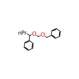 CCCC(OCOCc1ccccc1)c1ccccc1